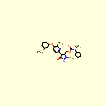 Cc1nc(-c2c(COC(=O)N(C)C3CCCC3)n(C)[nH]c2=O)ccc1O[C@H]1CCCC(C(=O)O)C1